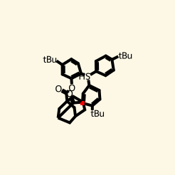 CC(C)(C)c1ccc([SH](c2ccc(C(C)(C)C)cc2)c2ccc(C(C)(C)C)cc2OC(=O)C23CC4CC(C2)C(=O)C(C4)C3)cc1